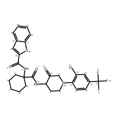 O=C(NC1(C(=O)NC2CCN(c3ccc(C(F)(F)F)cc3Cl)CC2=O)CCCCC1)c1cc2ccccc2o1